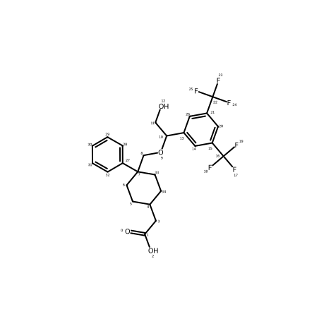 O=C(O)CC1CCC(COC(CO)c2cc(C(F)(F)F)cc(C(F)(F)F)c2)(c2ccccc2)CC1